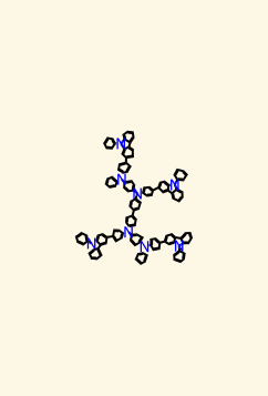 c1ccc(N(c2ccc(-c3ccc4c5ccccc5n(-c5ccccc5)c4c3)cc2)c2ccc(N(c3ccc(-c4ccc(N(c5ccc(-c6ccc7c(c6)c6ccccc6n7-c6ccccc6)cc5)c5ccc(N(c6ccccc6)c6ccc(-c7ccc8c9ccccc9n(-c9ccccc9)c8c7)cc6)cc5)cc4)cc3)c3ccc(-c4ccc5c(c4)c4ccccc4n5-c4ccccc4)cc3)cc2)cc1